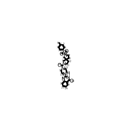 Cc1ccc(S(=O)(=O)N2CCC3(CCN(C(=O)N4CCN(c5nc6ccccc6c(=O)[nH]5)CC4)C3)C2)cc1